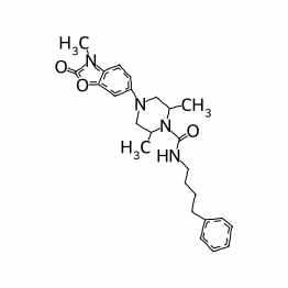 CC1CN(c2ccc3c(c2)oc(=O)n3C)CC(C)N1C(=O)NCCCCc1ccccc1